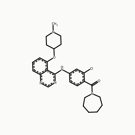 CN1CCC(Oc2cccc3ncnc(Nc4ccc(C(=O)N5CCCCCC5)c(Cl)c4)c23)CC1